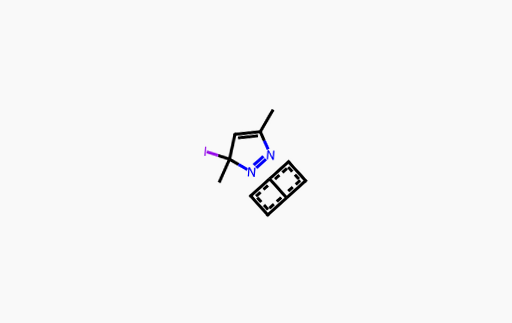 CC1=CC(C)(I)N=N1.c1cc2ccc1-2